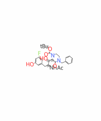 CC(=O)N[C@@H](Cc1cc(O)cc(F)c1)[C@H](O)[C@H]1C(=O)N(Cc2ccccc2)CCN1C(=O)OC(C)(C)C